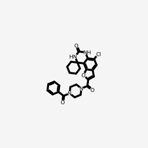 O=C1Nc2c(Cl)cc3cc(C(=O)N4CCN(C(=O)c5ccccc5)CC4)oc3c2C2(CCCCC2)N1